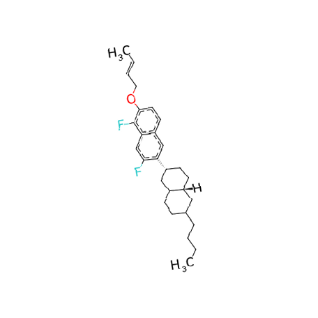 C/C=C/COc1ccc2cc([C@@H]3CC[C@@H]4CC(CCCC)CCC4C3)c(F)cc2c1F